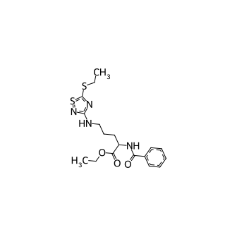 CCOC(=O)C(CCCNc1nsc(SCC)n1)NC(=O)c1ccccc1